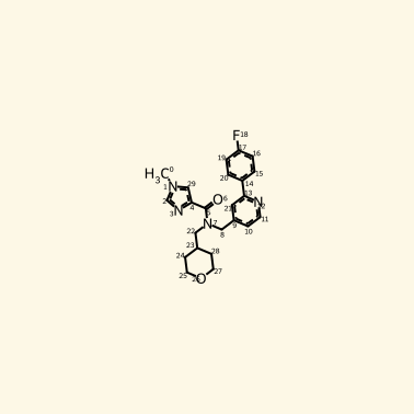 Cn1cnc(C(=O)N(Cc2ccnc(-c3ccc(F)cc3)c2)CC2CCOCC2)c1